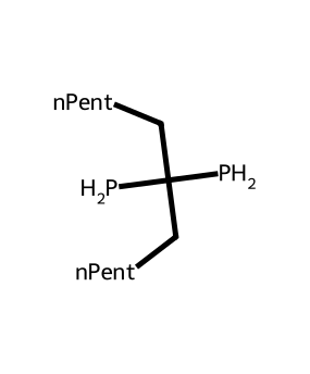 CCCCCCC(P)(P)CCCCCC